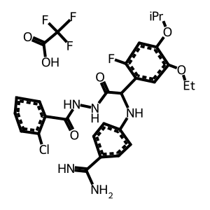 CCOc1cc(C(Nc2ccc(C(=N)N)cc2)C(=O)NNC(=O)c2ccccc2Cl)c(F)cc1OC(C)C.O=C(O)C(F)(F)F